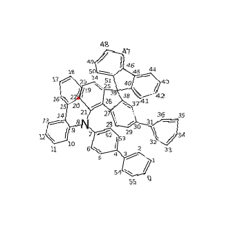 c1ccc(-c2ccc(N(c3ccccc3-c3ccccc3)c3cccc4c3-c3ccc(-c5ccccc5)cc3C43c4ccccc4-c4ccccc43)cc2)cc1